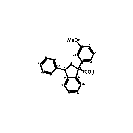 COc1cccc(C2(C(=O)O)CC(c3ccccc3)c3ccccc32)c1